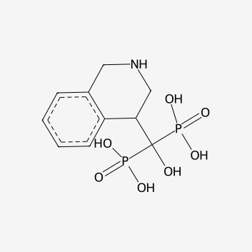 O=P(O)(O)C(O)(C1CNCc2ccccc21)P(=O)(O)O